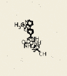 C#Cc1nc(NC(=O)N[C@@H](COC(N)=O)c2ccc(-c3cccnc3N(C)C)cc2)cs1